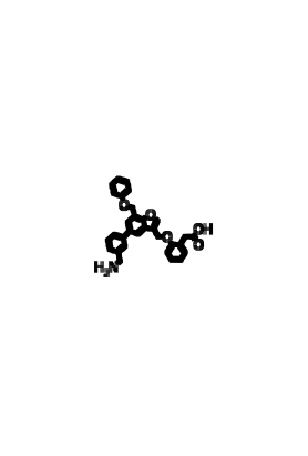 NCc1cccc(-c2cc(COc3ccccc3)c3occ(COc4ccccc4CC(=O)O)c3c2)c1